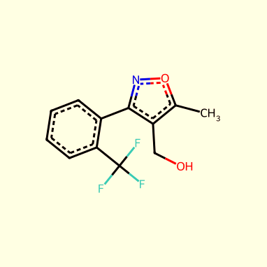 Cc1onc(-c2ccccc2C(F)(F)F)c1CO